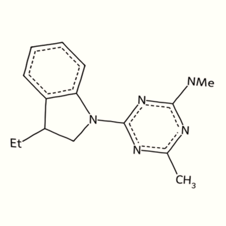 CCC1CN(c2nc(C)nc(NC)n2)c2ccccc21